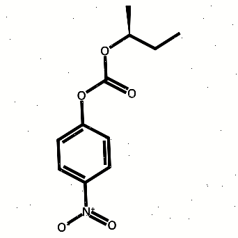 CC[C@H](C)OC(=O)Oc1ccc([N+](=O)[O-])cc1